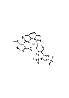 [2H]C([2H])([2H])n1cc(C(F)(F)F)nc1-c1ccc(C([2H])([2H])n2c(=O)ccc3cnc(-c4c(OC)ncnc4C4CC4)nc32)cc1